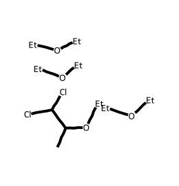 CCOC(C)C(Cl)Cl.CCOCC.CCOCC.CCOCC